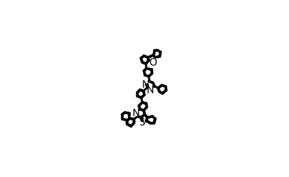 c1ccc(-c2cc(-c3ccc(-c4cccc5c4oc4ccccc45)cc3)nc(-c3cccc(-c4ccc5c(c4)nc(-c4cccc6ccccc46)c4sc6ccccc6c45)c3)n2)cc1